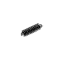 [O]C(F)(F)C(F)(F)C(F)(F)C(F)(F)C(F)(F)C(F)(F)C(F)(F)C(F)(F)C(F)(F)C(F)(F)C(F)(F)F